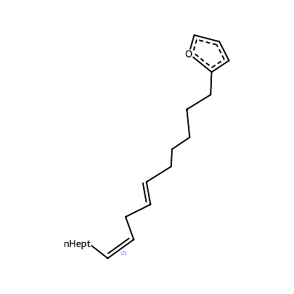 CCCCCCC/C=C\CC=CCCCCCc1ccco1